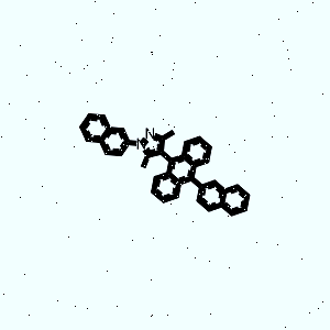 Cc1nn(-c2ccc3ccccc3c2)c(C)c1-c1c2ccccc2c(-c2ccc3ccccc3c2)c2ccccc12